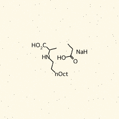 CCC(=O)O.CCCCCCCCCCNC(C)C(=O)O.[NaH]